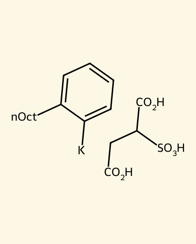 CCCCCCCCc1cccc[c]1[K].O=C(O)CC(C(=O)O)S(=O)(=O)O